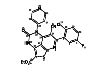 CCOC(=O)c1sc2nc(-c3cc(F)ccc3Cl)c(C#N)c3c2c1NC(=O)N3c1ccncc1